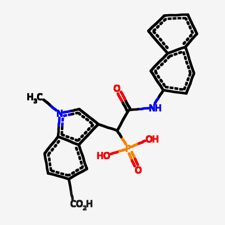 Cn1cc(C(C(=O)Nc2ccc3ccccc3c2)P(=O)(O)O)c2cc(C(=O)O)ccc21